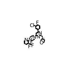 Fc1ccc(-c2cc(N3CCN(c4ncccc4C(F)(F)F)CC3)nc(C[C@H]3CCOC3)n2)cc1Cl